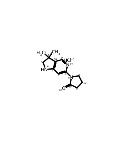 CC1(C)CNc2cc(N3CCCC3=O)ncc21.Cl